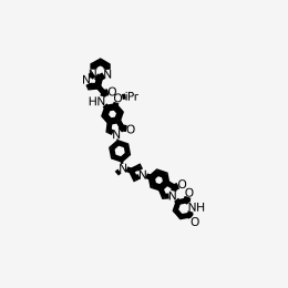 CC(C)Oc1cc2c(cc1NC(=O)c1cnn3cccnc13)CN([C@H]1CC[C@H](N(C)C3CN(c4ccc5c(c4)CN(C4CCC(=O)NC4=O)C5=O)C3)CC1)C2=O